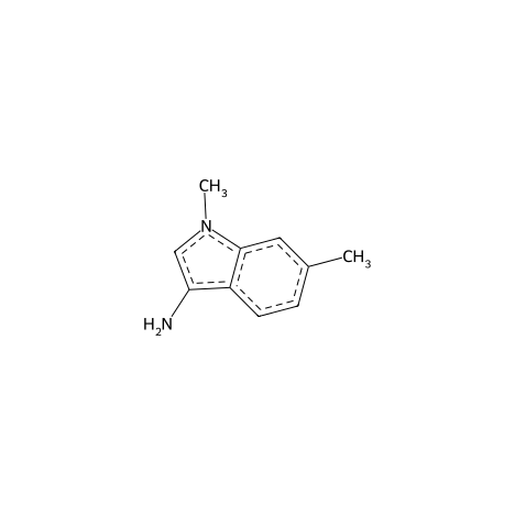 Cc1ccc2c(N)cn(C)c2c1